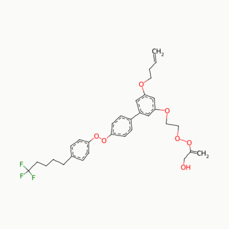 C=CCCOc1cc(OCCOOC(=C)CO)cc(-c2ccc(OOc3ccc(CCCCC(F)(F)F)cc3)cc2)c1